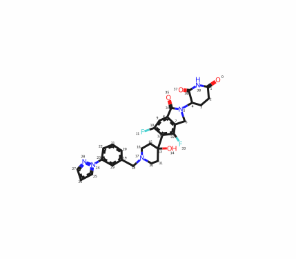 O=C1CCC(N2Cc3c(cc(F)c(C4(O)CCN(Cc5cccc(-n6cccn6)c5)CC4)c3F)C2=O)C(=O)N1